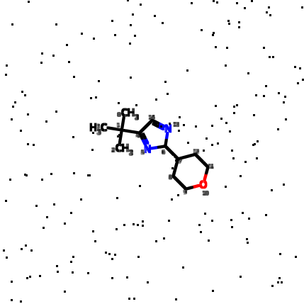 CC(C)(C)C1=NC(C2CCOCC2)N=C1